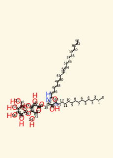 CCCCCCCCCCCCC/C=C/[C@@H](O)[C@H](CO[C@@H]1O[C@H](CO)[C@@H](O[C@@H]2O[C@H](CO)[C@H](O)[C@H](O)[C@H]2O)[C@H](O)[C@H]1O)NC(=O)CCCCCCCCCCCCCCCCCCC